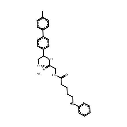 Cc1ccc(-c2ccc(C(CC(=O)O)NC(=O)CNC(=O)CCCCNc3ccccn3)cc2)cc1.[Na]